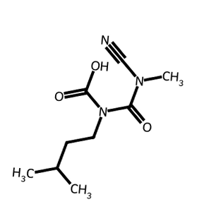 CC(C)CCN(C(=O)O)C(=O)N(C)C#N